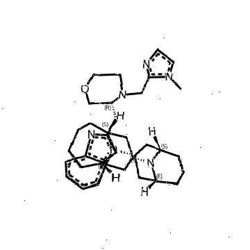 Cn1ccnc1CN1CCOC[C@H]1Cc1nc2ccccc2n1[C@H]1C[C@H]2CCC[C@@H](C1)N2[C@@H]1C[C@@H]2CCCC[C@@H](C2)C1